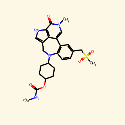 Cn1cc2c3c(c[nH]c3c1=O)CN(C1CCC(OC(=O)NC(C)(C)C)CC1)c1ccc(CS(C)(=O)=O)cc1-2